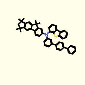 CC1(C)CC(C)(C)c2cc3c(cc21)-c1ccc(N(c2cccc(-c4ccc(-c5ccccc5)cc4)c2)c2cccc4c2sc2ccccc24)cc1C3(C)C